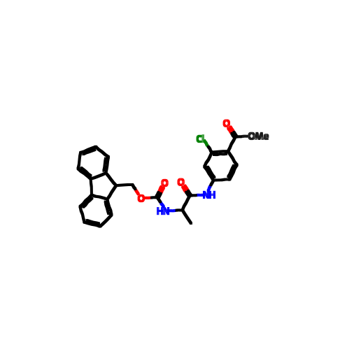 COC(=O)c1ccc(NC(=O)C(C)NC(=O)OCC2c3ccccc3-c3ccccc32)cc1Cl